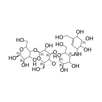 OCC1=CC(N[C@@H]2C(CO)O[C@@H](OC3[C@H](O)C(O)[C@H](OC4C(CO)O[C@H](O)[C@H](O)C4O)O[C@@H]3CO)[C@H](O)C2O)C(O)[C@@H](O)C1O